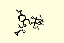 CC1(C)OB(c2cc(N)ccc2NS(=O)(=O)C2CC2)OC1(C)C